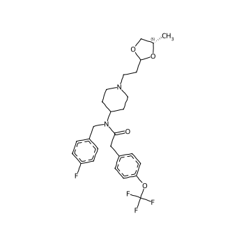 C[C@H]1COC(CCN2CCC(N(Cc3ccc(F)cc3)C(=O)Cc3ccc(OC(F)(F)F)cc3)CC2)O1